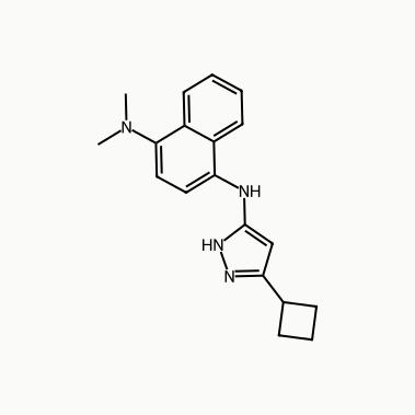 CN(C)c1ccc(Nc2cc(C3CCC3)n[nH]2)c2ccccc12